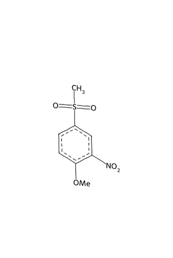 COc1ccc(S(C)(=O)=O)cc1[N+](=O)[O-]